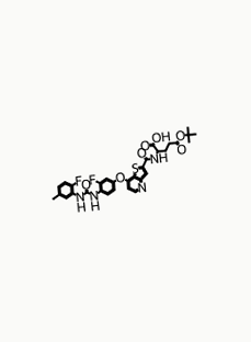 Cc1ccc(F)c(NC(=O)Nc2ccc(Oc3ccnc4cc(C(=O)NC(CCC(=O)OC(C)(C)C)C(=O)O)sc34)cc2F)c1